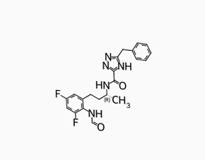 C[C@H](CCc1cc(F)cc(F)c1NC=O)NC(=O)c1nnc(Cc2ccccc2)[nH]1